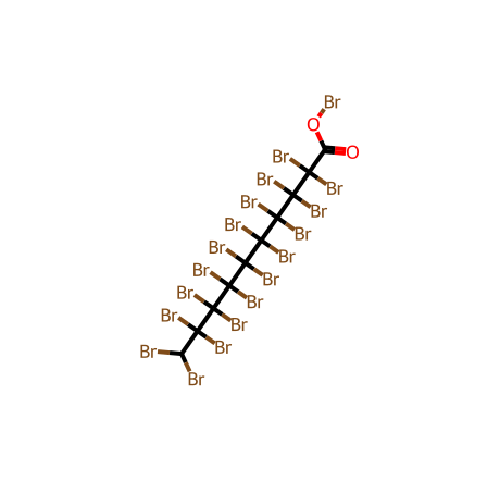 O=C(OBr)C(Br)(Br)C(Br)(Br)C(Br)(Br)C(Br)(Br)C(Br)(Br)C(Br)(Br)C(Br)(Br)C(Br)(Br)C(Br)Br